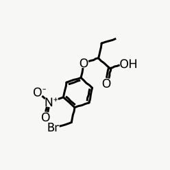 CCC(Oc1ccc(CBr)c([N+](=O)[O-])c1)C(=O)O